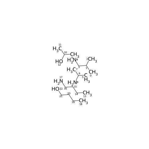 CC(C)CN.CC(C)N.CC(C)O.CCCCN.CCCCO